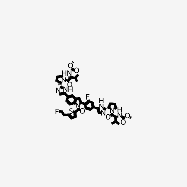 COC(=O)N[C@H](C(=O)N1CCC[C@H]1c1ncc(-c2cc(F)c3c(c2)OC(c2ccc(CCF)s2)n2c-3cc3cc(-c4cnc([C@@H]5CCCN5C(=O)[C@@H](NC(=O)OC)C(C)C)[nH]4)ccc32)[nH]1)C(C)C